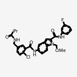 COCn1c(C(=O)Nc2cccc(F)c2)cc2cc(NC(=O)c3cc(CNC(=O)C(C)C)ccc3Cl)ccc21